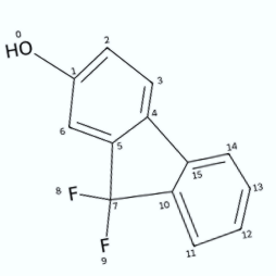 Oc1ccc2c(c1)C(F)(F)c1ccccc1-2